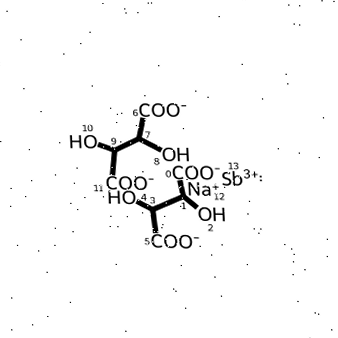 O=C([O-])C(O)C(O)C(=O)[O-].O=C([O-])C(O)C(O)C(=O)[O-].[Na+].[Sb+3]